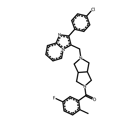 Cc1ccc(F)cc1C(=O)N1CC2CN(Cc3c(-c4ccc(Cl)cc4)nc4ccccn34)CC2C1